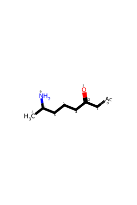 CC(=O)CC(=O)CCCC(C)N